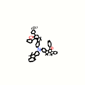 CC(C)(C)c1ccc(-c2cc3c(c4c2oc2ccccc24)-c2ccc(N(c4ccc5c(c4)C(C)(C)c4ccccc4-5)c4ccc5c(c4)C(C)(C)c4c6c(c7oc8ccccc8c7c4-5)-c4ccccc4C6(C)C)cc2C3(C)C)cc1